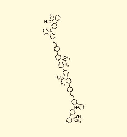 CC1(C)c2cc(-c3ccc(/C=C/c4ccc5c(c4)c4ccccc4n5-c4ccc5c(c4)C(C)(C)c4ccccc4-5)cc3)ccc2-c2ccc(-c3ccc4c(c3)C(C)(C)c3cc(-c5ccc(/C=C/c6ccc7c(c6)c6ccccc6n7-c6ccc7c(c6)C(C)(C)c6ccccc6-7)cc5)ccc3-4)cc21